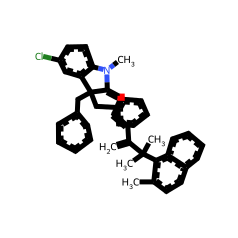 C=C(/C=C/C=C1/N(C)c2ccc(Cl)cc2C1(Cc1ccccc1)Cc1ccccc1)C(C)(C)c1c(C)ccc2ccccc12